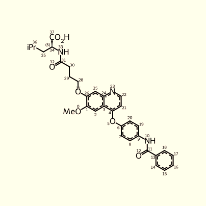 COc1cc2c(Oc3ccc(NC(=O)c4ccccc4)cc3)ccnc2cc1OCCCC(=O)N[C@@H](CC(C)C)C(=O)O